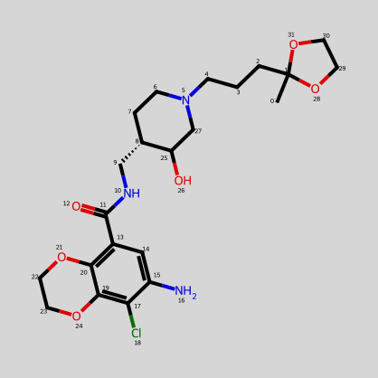 CC1(CCCN2CC[C@@H](CNC(=O)c3cc(N)c(Cl)c4c3OCCO4)C(O)C2)OCCO1